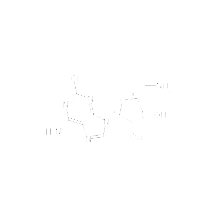 NC[C@H]1O[C@@H](n2cnc3c(N)nc(Cl)nc32)[C@@H](O)[C@H]1O